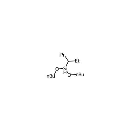 CCCCO[SiH](OCCCC)C(CC)C(C)C